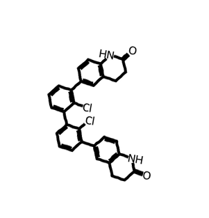 O=C1CCc2cc(-c3cccc(-c4cccc(-c5ccc6c(c5)CCC(=O)N6)c4Cl)c3Cl)ccc2N1